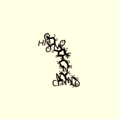 O=C1CCC(N2Cc3cc(C4CCN(Cc5cnc(Cl)nc5N5CCOCC5)CC4)c(F)cc3C2=O)C(=O)N1